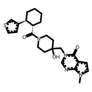 Cn1ccc2c(=O)n(CC3(O)CCN(C(=O)[C@H]4CCCC[C@@H]4c4ccsc4)CC3)cnc21